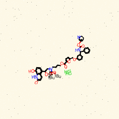 CC(C)(C)OC(=O)N(CCCCOC(=O)c1ccc(COc2cccc([C@@H](NC(=O)OC3CN4CCC3CC4)c3ccccc3)c2)o1)CC(O[Si](C)(C)C(C)(C)C)c1ccc(O)c2[nH]c(=O)ccc12.Cl.Cl